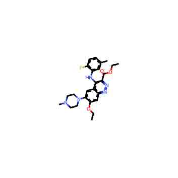 CCOC(=O)c1nnc2cc(OCC)c(N3CCN(C)CC3)cc2c1Nc1cc(C)ccc1F